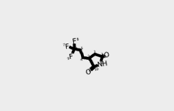 O=C1CC(CCC(F)(F)F)C(=O)N1